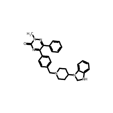 Cn1nc(-c2ccccc2)c(-c2ccc(CN3CCC(N4[CH]Nc5ccccc54)CC3)cc2)nc1=O